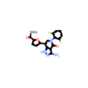 CNC(=O)c1ccc(-c2cn(-c3c(F)cccc3F)c(=O)c3c(N)n[nH]c23)o1